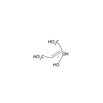 O=C(O)/C=C\C(=O)O.OO